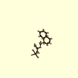 CC(C)(C)OC(=O)COc1cccc2ccccc12